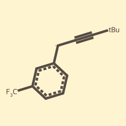 CC(C)(C)C#C[CH]c1cccc(C(F)(F)F)c1